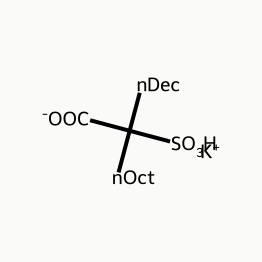 CCCCCCCCCCC(CCCCCCCC)(C(=O)[O-])S(=O)(=O)O.[K+]